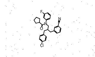 N#Cc1cccc(CC(Cc2ccc(Cl)cc2)CN(C(=O)C2CCCC2)c2cccc(F)c2)c1